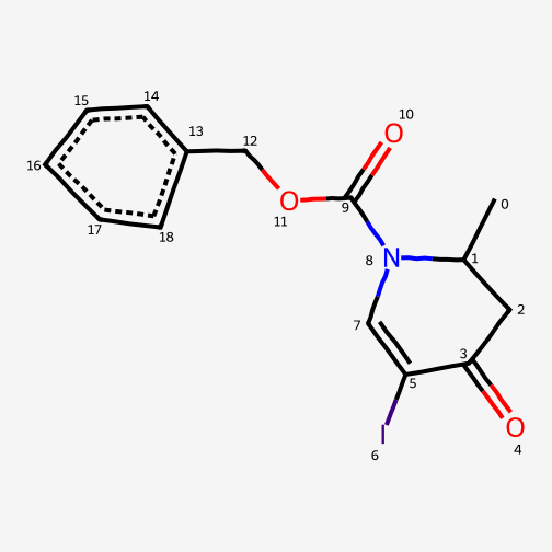 CC1CC(=O)C(I)=CN1C(=O)OCc1ccccc1